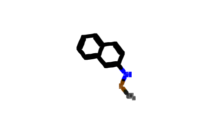 FC(F)(F)SNc1ccc2ccccc2c1